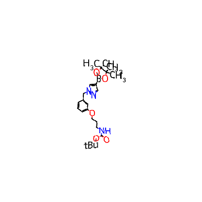 CC(C)(C)OC(=O)NCCCOc1cccc(Cn2cc(B3OC(C)(C)C(C)(C)O3)cn2)c1